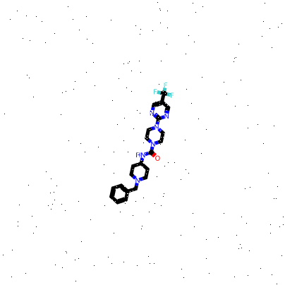 O=C(NC1CCN(Cc2ccccc2)CC1)N1CCN(c2ncc(C(F)(F)F)cn2)CC1